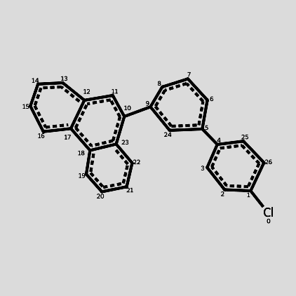 Clc1ccc(-c2cccc(-c3cc4ccccc4c4ccccc34)c2)cc1